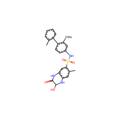 COc1cc(NS(=O)(=O)c2cc3c(cc2C)NC(O)C(=O)N3)ccc1-c1ccccc1C